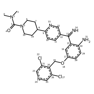 CN(C)C(=O)N1CCC(c2ccc(C(=N)c3cc(OCc4c(Cl)cncc4Cl)ccc3N)cn2)CC1